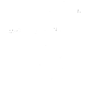 COc1ccc2c3ccnc(C)c3n(CCc3ccccc3)c2c1